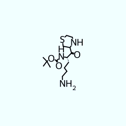 CC(C)(C)OC(=O)N[C@@H](CCCCN)C(=O)C1CSCCN1